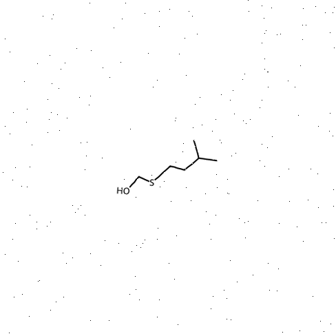 CC(C)CCSCO